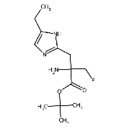 CCc1cnc(CC(N)(CF)C(=O)OC(C)(C)C)[nH]1